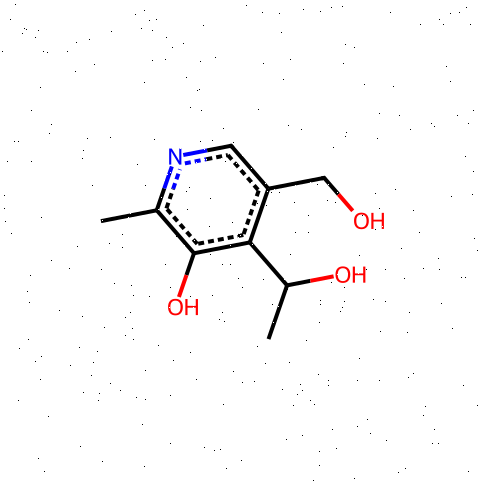 Cc1ncc(CO)c(C(C)O)c1O